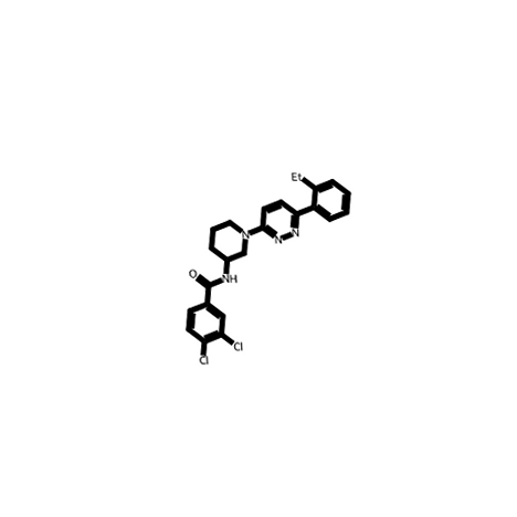 CCc1ccccc1-c1ccc(N2CCCC(NC(=O)c3ccc(Cl)c(Cl)c3)C2)nn1